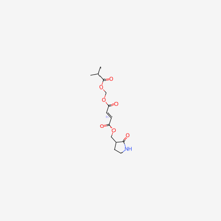 CC(C)C(=O)OCOC(=O)/C=C/C(=O)OCC1CCNC1=O